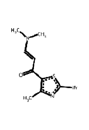 Cc1nc(C(C)C)sc1C(=O)C=CN(C)C